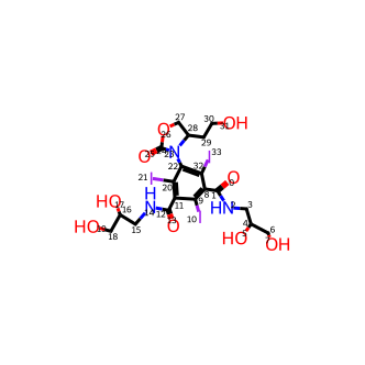 O=C(NCC(O)CO)c1c(I)c(C(=O)NCC(O)CO)c(I)c(N2C(=O)OCC2CCO)c1I